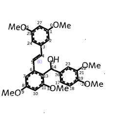 COc1cc(/C=C/c2cc(OC)cc(OC)c2C(O)c2ccc(OC)c(OC)c2)cc(OC)c1